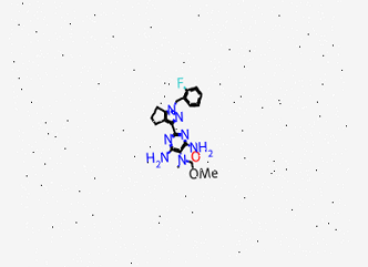 COC(=O)N(C)c1c(N)nc(-c2nn(Cc3ccccc3F)c3c2CCC3)nc1N